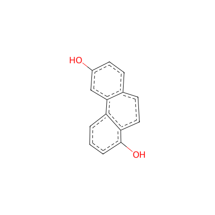 Oc1ccc2ccc3c(O)cccc3c2c1